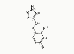 Fc1ccc(COc2cc[nH]n2)c(F)c1